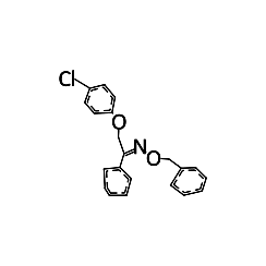 Clc1ccc(OCC(=NOCc2ccccc2)c2ccccc2)cc1